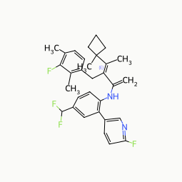 C=C(Nc1ccc(C(F)F)cc1-c1ccc(F)nc1)/C(Cc1ccc(C)c(F)c1C)=C(\C)C1(C)CCC1